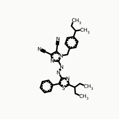 CCC(C)c1ccc(Cn2c(/N=N/c3nc(C(CC)CC)sc3-c3ccccc3)nc(C#N)c2C#N)cc1